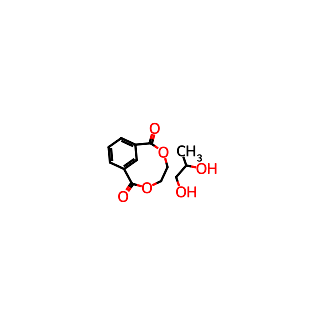 CC(O)CO.O=C1OCCOC(=O)c2cccc1c2